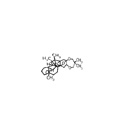 CC1(C)COC2C[C@@]34O[C@]35CC[C@@H]3C4CC[C@]4(C)C(CC[C@H]34)OCC(C)(C)COC2(C5)OC1